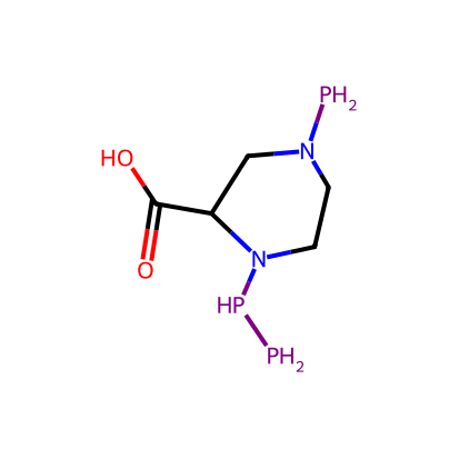 O=C(O)C1CN(P)CCN1PP